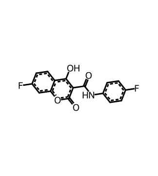 O=C(Nc1ccc(F)cc1)c1c(O)c2ccc(F)cc2oc1=O